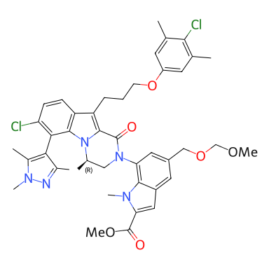 COCOCc1cc(N2C[C@@H](C)n3c(c(CCCOc4cc(C)c(Cl)c(C)c4)c4ccc(Cl)c(-c5c(C)nn(C)c5C)c43)C2=O)c2c(c1)cc(C(=O)OC)n2C